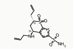 C=CCN[C@H]1C[C@H](CC=C)S(=O)(=O)c2sc(S(N)(=O)=O)cc21